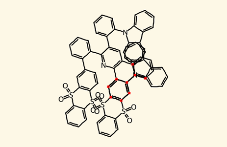 O=S1(=O)c2ccccc2S(=O)(=O)c2cc(-c3ccccc3-c3cc(-c4ccccc4-n4c5ccccc5c5ccccc54)c(-c4ccccc4-c4ccc5c(c4)S(=O)(=O)c4ccccc4S5(=O)=O)nc3-c3ccccc3-n3c4ccccc4c4ccccc43)ccc21